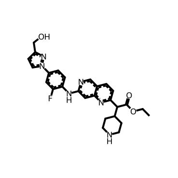 CCOC(=O)C(c1ccc2cnc(Nc3ccc(-n4ccc(CO)n4)cc3F)cc2n1)C1CCNCC1